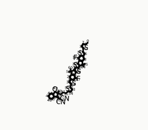 Cc1ccc(-c2cc3cc4c(c(F)c3s2)-c2sc3c5c(sc3c2C4(C)C)-c2c(cc3cc(-c4ccc(CCCC6(C)C(=O)c7ccccc7C6=C(C#N)C#N)s4)sc3c2F)C5(C)C)s1